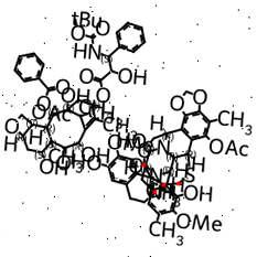 CC(=O)O[C@@]12CO[C@@H]1C[C@H](O)[C@@]1(C)C(=O)[C@H](O)C3=C(C)[C@@H](OC(=O)C(O)[C@@H](NC(=O)OC(C)(C)C)c4ccccc4)C[C@@](O)([C@@H](OC(=O)c4ccccc4)[C@H]21)C3(C)C.COc1cc2c(cc1O)CCN[C@]21CCS[C@@H]2c3c(OC(C)=O)c(C)c4c(c3[C@H](COC1=O)N1[C@@H]2[C@H]2c3c(cc(C)c(OC)c3O)C[C@@H]([C@@H]1O)N2C)OCO4